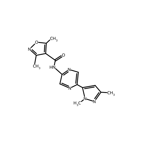 Cc1cc(-c2cnc(NC(=O)c3c(C)noc3C)cn2)n(C)n1